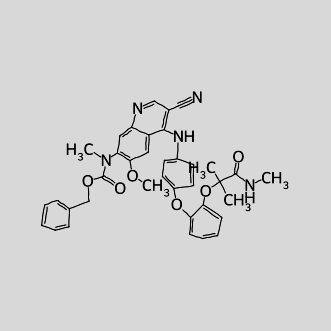 CNC(=O)C(C)(C)Oc1ccccc1Oc1ccc(Nc2c(C#N)cnc3cc(N(C)C(=O)OCc4ccccc4)c(OC)cc23)cc1